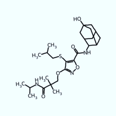 CC(C)CSc1c(OCC(C)(C)C(=O)NC(C)C)noc1C(=O)NC1C2CC3CC1CC(O)(C3)C2